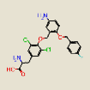 Nc1ccc(OCc2ccc(F)cc2)c(COc2c(Cl)cc(CC(N)C(=O)O)cc2Cl)c1